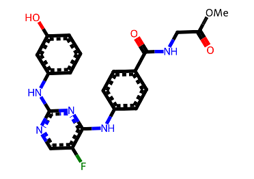 COC(=O)CNC(=O)c1ccc(Nc2nc(Nc3cccc(O)c3)ncc2F)cc1